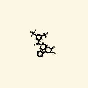 CN1CC(c2ccccc2)C2(CCN(C(=O)c3cc(C(F)(F)F)cc(C(F)(F)F)c3)CC2)OC1=O